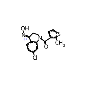 Cc1sccc1C(=O)N1CC/C(=N\O)c2ccc(Cl)cc21